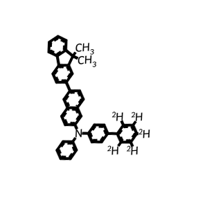 [2H]c1c([2H])c([2H])c(-c2ccc(N(c3ccccc3)c3ccc4cc(-c5ccc6c(c5)C(C)(C)c5ccccc5-6)ccc4c3)cc2)c([2H])c1[2H]